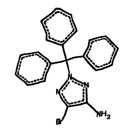 Nc1nn(C(c2ccccc2)(c2ccccc2)c2ccccc2)nc1Br